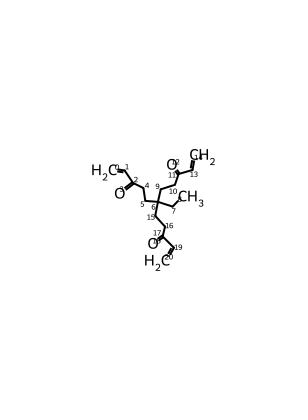 C=CC(=O)CCC(CC)(CCC(=O)C=C)CCC(=O)C=C